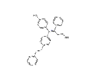 OCC/C(=C(/c1ccc(O)cc1)c1ccc(OCc2ccccc2)cc1)c1ccccc1